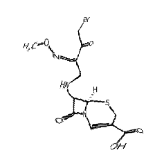 CON=C(CNC1C(=O)N2C=C(C(=O)O)CS[C@H]12)C(=O)CBr